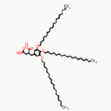 CCCCCCCCCCCCCCCCCCOc1cc(CC(CC(=O)O)C(=O)O)cc(OCCCCCCCCCCCCCCCCCC)c1OCCCCCCCCCCCCCCCCCC